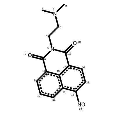 CN(C)CCN1C(=O)c2cccc3c(N=O)ccc(c23)C1=O